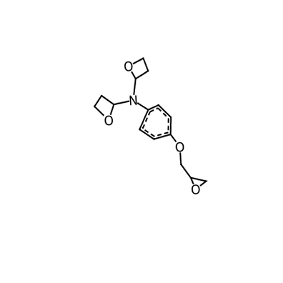 c1cc(N(C2CCO2)C2CCO2)ccc1OCC1CO1